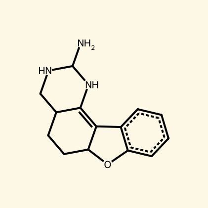 NC1NCC2CCC3Oc4ccccc4C3=C2N1